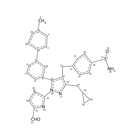 Cc1ccc(-c2cccc(-c3c(Cc4ccc([S+](N)[O-])cc4)c(CC4CC4)nn3-c3nc(C=O)cs3)c2)cc1